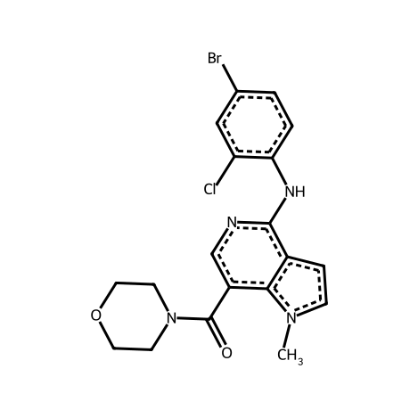 Cn1ccc2c(Nc3ccc(Br)cc3Cl)ncc(C(=O)N3CCOCC3)c21